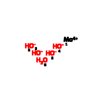 O.[Mo+4].[OH-].[OH-].[OH-].[OH-]